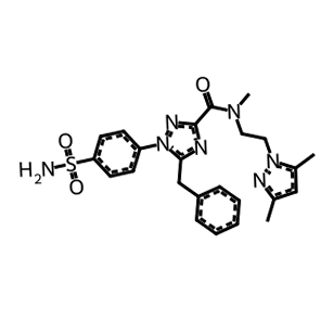 Cc1cc(C)n(CCN(C)C(=O)c2nc(Cc3ccccc3)n(-c3ccc(S(N)(=O)=O)cc3)n2)n1